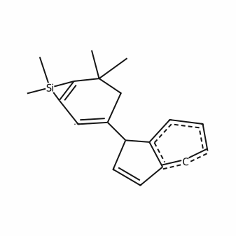 CC1(C)CC(C2C=Cc3ccccc32)=[C]C2=C1[Si]2(C)C